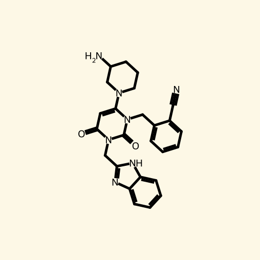 N#Cc1ccccc1Cn1c(N2CCCC(N)C2)cc(=O)n(Cc2nc3ccccc3[nH]2)c1=O